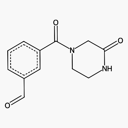 O=Cc1cccc(C(=O)N2CCNC(=O)C2)c1